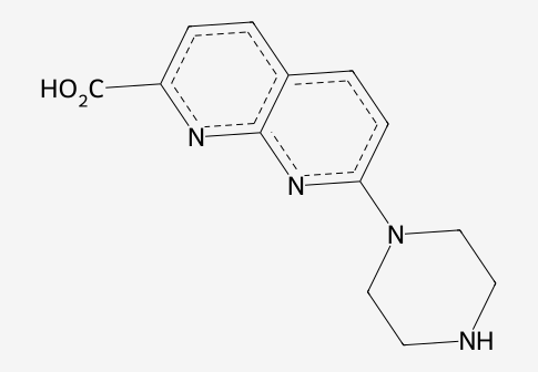 O=C(O)c1ccc2ccc(N3CCNCC3)nc2n1